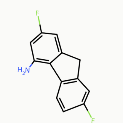 Nc1cc(F)cc2c1-c1ccc(F)cc1C2